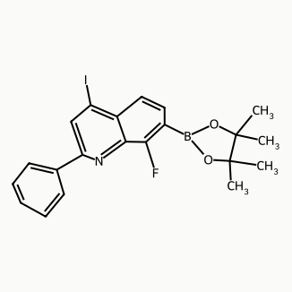 CC1(C)OB(c2ccc3c(I)cc(-c4ccccc4)nc3c2F)OC1(C)C